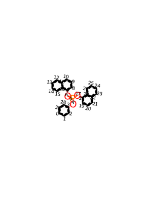 c1ccc(OP(Oc2cccc3ccccc23)Oc2cccc3ccccc23)cc1